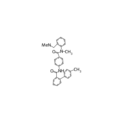 CNCc1ccccc1N(C)C(=O)c1ccc(NC(=O)c2ccccc2-c2ccc(C)cc2)cc1